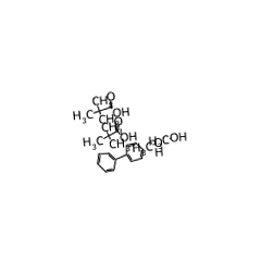 CC(C)(C)C(=O)O.CC(C)(C)C(=O)O.CO.CO.c1ccc(-c2ccccc2)cc1